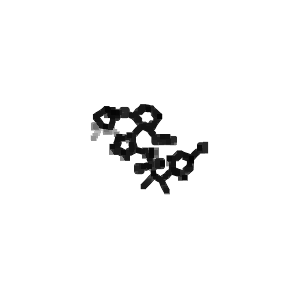 COc1cccc(OC)c1-n1c(NS(=O)(=O)C(C)C(C)c2ncc(Cl)cn2)nnc1[C@H]1OCC[C@H]1C